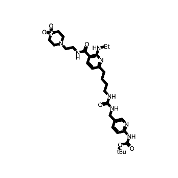 CCNc1nc(CCCCNC(=O)NCc2ccc(NC(=O)OC(C)(C)C)nc2)ccc1C(=O)NCCN1CCS(=O)(=O)CC1